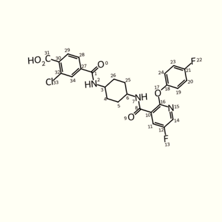 O=C(NC1CCC(NC(=O)c2cc(F)cnc2Oc2ccc(F)cc2)CC1)c1ccc(C(=O)O)c(Cl)c1